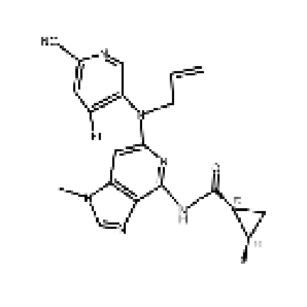 C=CCN(c1cc2c(ncn2C)c(NC(=O)[C@H]2C[C@H]2F)n1)c1cnc(C#N)cc1CC